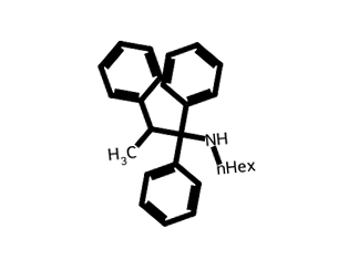 CCCCCCNC(c1ccccc1)(c1ccccc1)C(C)c1ccccc1